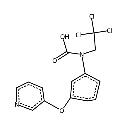 O=C(O)N(CC(Cl)(Cl)Cl)c1cccc(Oc2cccnc2)c1